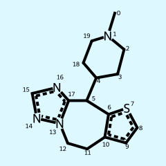 CN1CCC(C2c3sccc3CCn3ncnc32)CC1